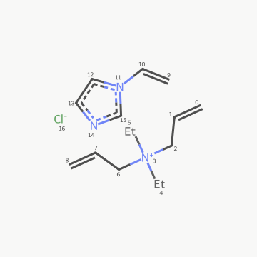 C=CC[N+](CC)(CC)CC=C.C=Cn1ccnc1.[Cl-]